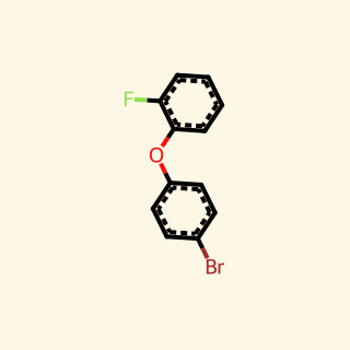 Fc1ccccc1Oc1ccc(Br)cc1